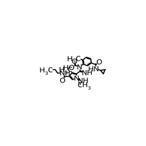 CCCNC(=O)c1cn(NC)c(C(=N)N(C(=O)O)c2cc(C(=O)NC3CC3)ccc2C)c1C